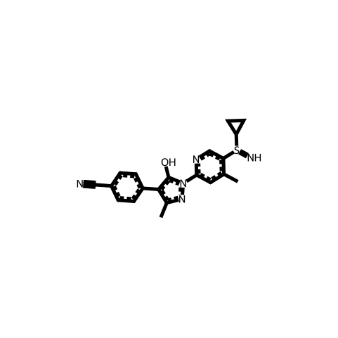 Cc1cc(-n2nc(C)c(-c3ccc(C#N)cc3)c2O)ncc1S(=N)C1CC1